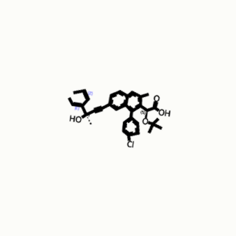 C/C=C\C(=C/C)[C@](C)(O)C#Cc1ccc2cc(C)c([C@H](OC(C)(C)C)C(=O)O)c(-c3ccc(Cl)cc3)c2c1